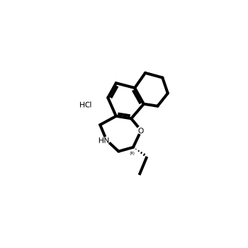 CC[C@@H]1CNCc2ccc3c(c2O1)CCCC3.Cl